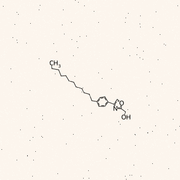 CCCCCCCCCCCCc1ccc(-c2coc(CO)n2)cc1